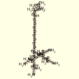 Cc1cc(C)c(-c2cc(C)c(OCC(=O)NCCOCCOCCOCCOCCOCCOCCOCCOCCC(=O)N(CCNC(=O)C(CCCCNC(=O)C(N)CCCCN)NC(=O)C(N)CCCCN)CCNC(=O)C(CCCCNC(=O)C(N)CCCCN)NC(=O)C(N)CCCCN)cc2C)c(C)c1